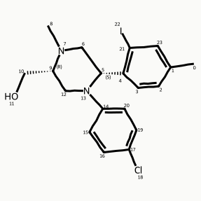 Cc1ccc([C@H]2CN(C)[C@@H](CO)CN2c2ccc(Cl)cc2)c(I)c1